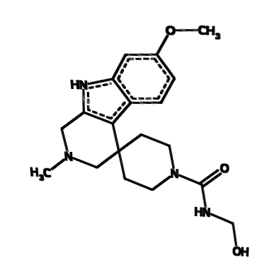 COc1ccc2c3c([nH]c2c1)CN(C)CC31CCN(C(=O)NCO)CC1